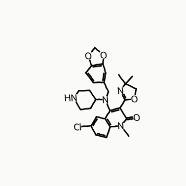 Cn1c(=O)c(C2=NC(C)(C)CO2)c(N(Cc2ccc3c(c2)OCO3)C2CCNCC2)c2cc(Cl)ccc21